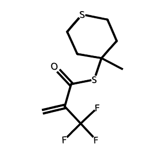 C=C(C(=O)SC1(C)CCSCC1)C(F)(F)F